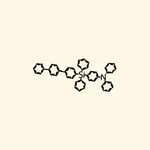 c1ccc(-c2ccc(-c3ccc([Si](c4ccccc4)(c4ccccc4)c4ccc(N(c5ccccc5)c5ccccc5)cc4)cc3)cc2)cc1